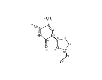 Cc1cn([C@H]2CC[C@@H](C=O)O2)c(=O)[nH]c1=O